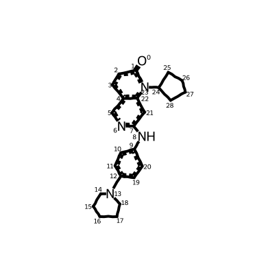 O=c1ccc2cnc(Nc3ccc(N4CCCCC4)cc3)cc2n1C1CCCC1